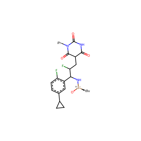 CC(C)N1C(=O)NC(=O)C(CC(F)C(N[S@+]([O-])C(C)(C)C)c2cc(C3CC3)ccc2F)C1=O